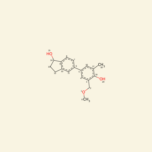 COCc1cc(-c2ccc3c(c2)CCC3O)cc(C)c1O